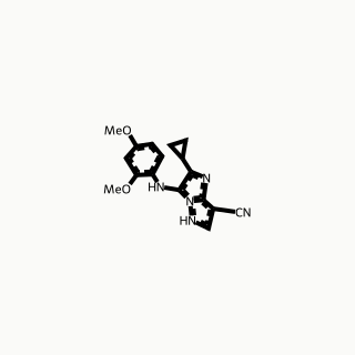 COc1ccc(Nc2c(C3CC3)nc3c(C#N)c[nH]n23)c(OC)c1